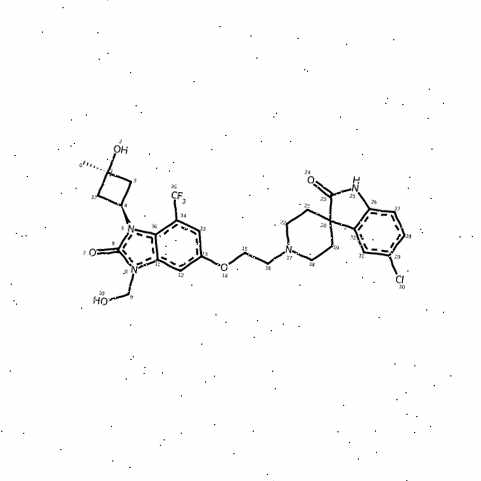 C[C@]1(O)C[C@@H](n2c(=O)n(CO)c3cc(OCCN4CCC5(CC4)C(=O)Nc4ccc(Cl)cc45)cc(C(F)(F)F)c32)C1